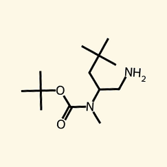 CN(C(=O)OC(C)(C)C)C(CN)CC(C)(C)C